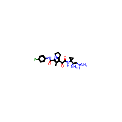 Cc1c(C(=O)C(=O)NC2(/C(N)=C/NN)CC2)c2n(c1C(=O)Nc1ccc(F)cc1)CCC2